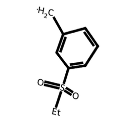 [CH2]c1cccc(S(=O)(=O)CC)c1